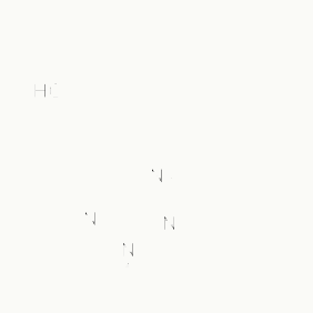 C#Cc1nnnn1-c1ccccc1